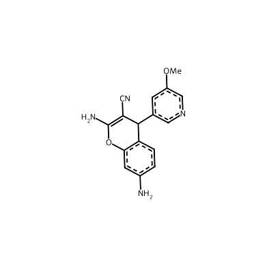 COc1cncc(C2C(C#N)=C(N)Oc3cc(N)ccc32)c1